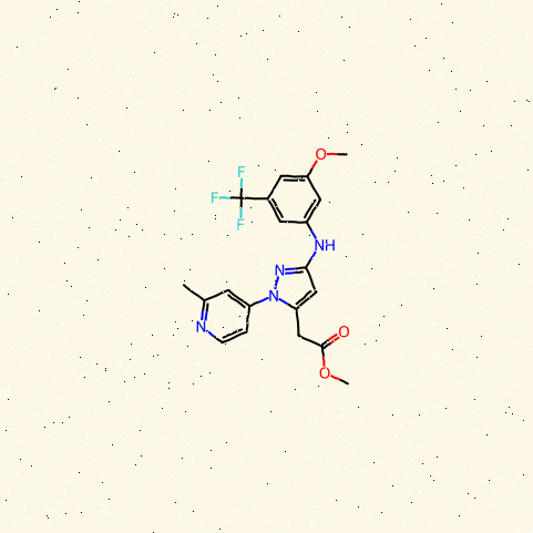 COC(=O)Cc1cc(Nc2cc(OC)cc(C(F)(F)F)c2)nn1-c1ccnc(C)c1